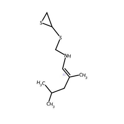 C/C(=C\NCSC1CS1)CC(C)C